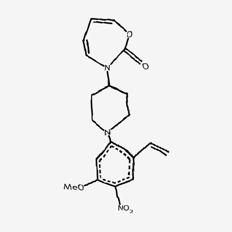 C=Cc1cc([N+](=O)[O-])c(OC)cc1N1CCC(N2C=CC=COC2=O)CC1